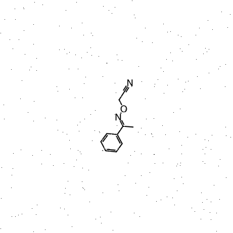 CC(=NOCC#N)c1cc[c]cc1